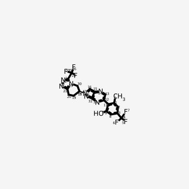 Cc1cc(C(F)(F)F)cc(O)c1-c1cnc2cn([C@H]3CCc4nnc(C(F)(F)F)n4C3)nc2n1